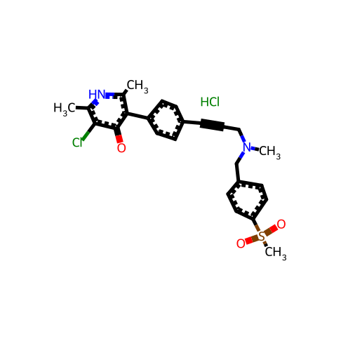 Cc1[nH]c(C)c(-c2ccc(C#CCN(C)Cc3ccc(S(C)(=O)=O)cc3)cc2)c(=O)c1Cl.Cl